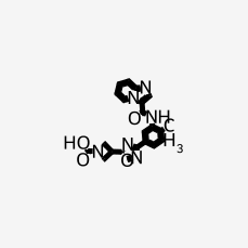 Cc1ccc(-c2noc(C3CN(C(=O)O)C3)n2)cc1NC(=O)c1cnc2ccccn12